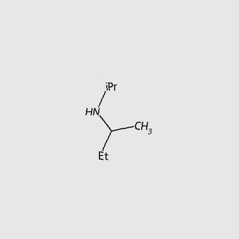 [CH2]CC(C)NC(C)C